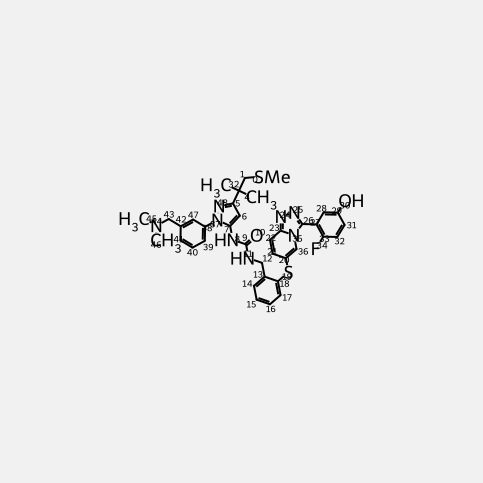 CSCC(C)(C)c1cc(NC(=O)NCc2ccccc2Sc2ccc3nnc(-c4cc(O)ccc4F)n3c2)n(-c2cccc(CN(C)C)c2)n1